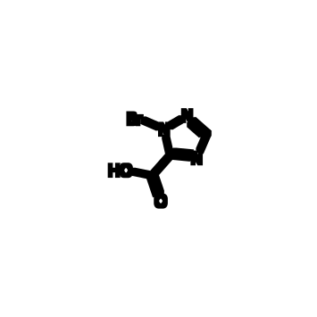 O=C(O)c1ncnn1Br